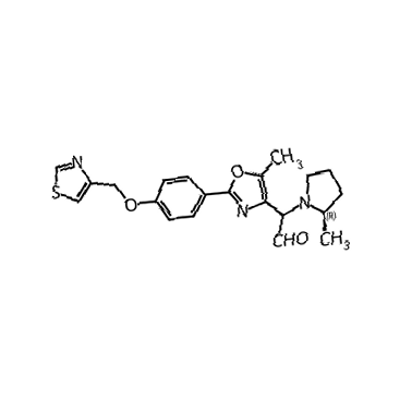 Cc1oc(-c2ccc(OCc3cscn3)cc2)nc1C(C=O)N1CCC[C@H]1C